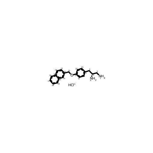 Cl.NC[C@@H](N)Cc1ccc(OCc2ccc3ccccc3c2)cc1